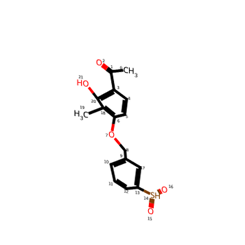 CC(=O)c1ccc(OCc2cc[c]c([SH](=O)=O)c2)c(C)c1O